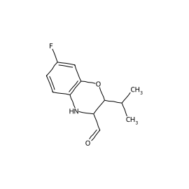 CC(C)C1Oc2cc(F)ccc2NC1C=O